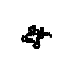 CCNc1cc2ncnc(NCc3ccccc3CNCc3ccccn3)c2cc1[N+](=O)[O-]